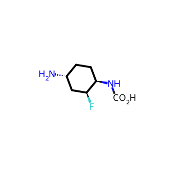 N[C@@H]1CC[C@@H](NC(=O)O)[C@@H](F)C1